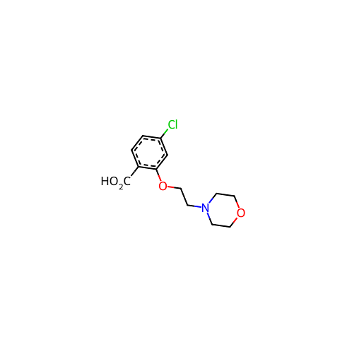 O=C(O)c1ccc(Cl)cc1OCCN1CCOCC1